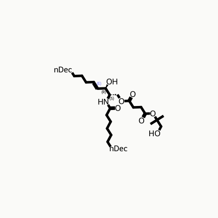 CCCCCCCCCCCCC/C=C/[C@@H](O)[C@H](COC(=O)CCC(=O)OC(C)(C)CO)NC(=O)CCCCCCCCCCCCCCC